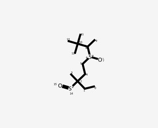 CCC(C)(CC[S+]([O-])C(C)C(C)(C)C)[S+]=O